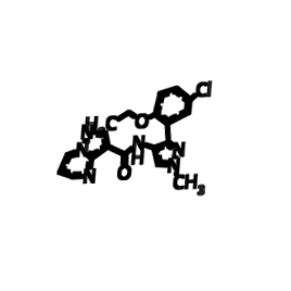 CCOc1ccc(Cl)cc1-c1nn(C)cc1NC(=O)c1cnn2cccnc12